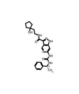 C[C@@H](NC(=O)Nc1cc2[nH]nc(C(=O)NCCC3(O)CCCC3)c2cn1)c1ccccc1